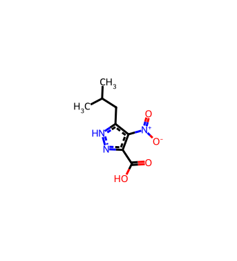 CC(C)Cc1[nH]nc(C(=O)O)c1[N+](=O)[O-]